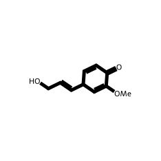 COC1=CC(/C=C/CO)C=CC1=O